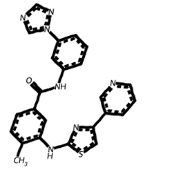 Cc1ccc(C(=O)Nc2cccc(-n3cncn3)c2)cc1Nc1nc(-c2cccnc2)cs1